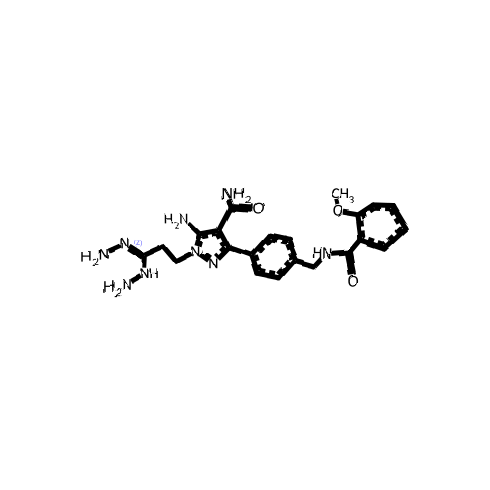 COc1ccccc1C(=O)NCc1ccc(-c2nn(CC/C(=N/N)NN)c(N)c2C(N)=O)cc1